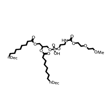 CCCCCCCCCCCCCCCCCC(=O)OCC(COP(=O)(O)OCCNC(=O)OCCOCCOC)OC(=O)CCCCCCCCCCCCCCCCC